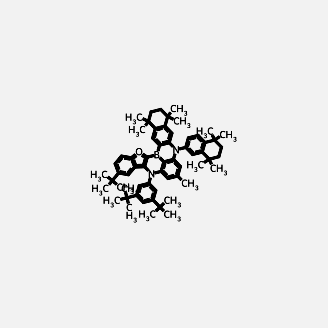 Cc1cc2c3c(c1)N(c1cc(C(C)(C)C)cc(C(C)(C)C)c1)c1c(oc4ccc(C(C)(C)C)cc14)B3c1cc3c(cc1N2c1ccc2c(c1)C(C)(C)CCC2(C)C)C(C)(C)CCC3(C)C